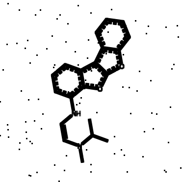 CC(C)N(C)/C=C\Nc1cccc2c1oc1oc3ccccc3c12